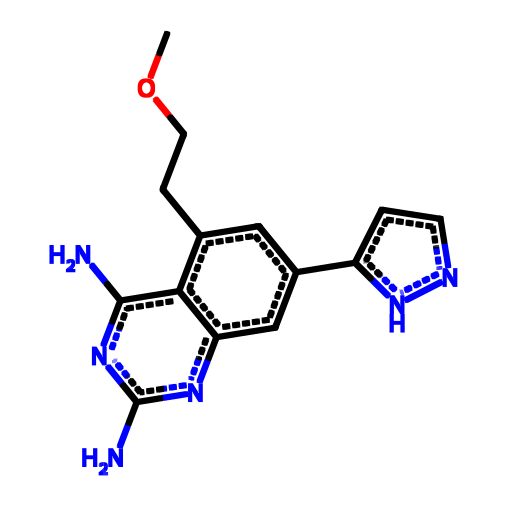 COCCc1cc(-c2ccn[nH]2)cc2nc(N)nc(N)c12